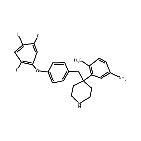 Cc1ccc(N)cc1C1(Cc2ccc(Oc3cc(F)c(F)cc3F)cc2)CCNCC1